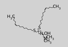 CCCC/C=C\CCCCCCCCSCC1(CSCCCCCCCC/C=C\CCCC)CN(C(O)CN(C)C)C1